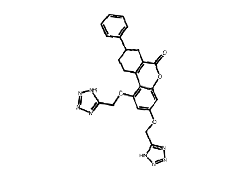 O=c1oc2cc(OCc3nnn[nH]3)cc(OCc3nnn[nH]3)c2c2c1CC(c1ccccc1)CC2